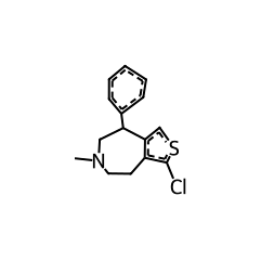 CN1CCc2c(csc2Cl)C(c2ccccc2)C1